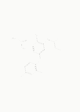 CCOC(=O)CC(C)Nc1cc(Oc2ccc(Cl)cc2Cl)ccc1[N+](=O)[O-].CO[PH](=O)OC